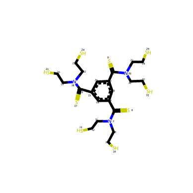 S=C(c1cc(C(=S)N(CCS)CCS)cc(C(=S)N(CCS)CCS)c1)N(CCS)CCS